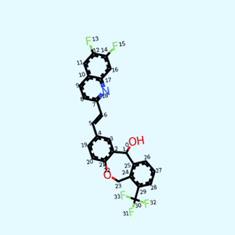 OC1c2cc(C=Cc3ccc4cc(F)c(F)cc4n3)ccc2OCc2c1cccc2C(F)(F)F